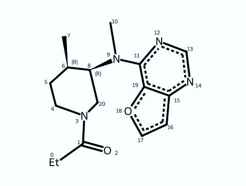 CCC(=O)N1CC[C@@H](C)[C@@H](N(C)c2ncnc3ccoc23)C1